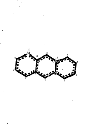 [c]1cccc2cc3cccnc3cc12